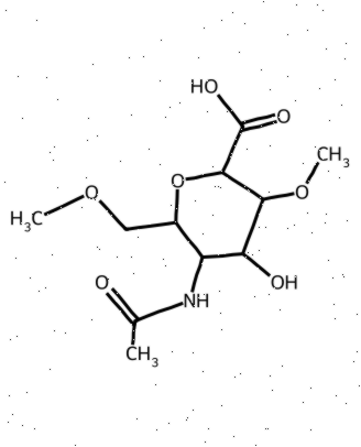 COCC1OC(C(=O)O)C(OC)C(O)C1NC(C)=O